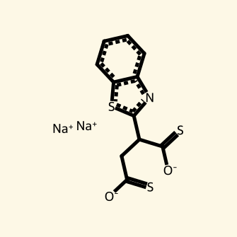 [Na+].[Na+].[O-]C(=S)CC(C([O-])=S)c1nc2ccccc2s1